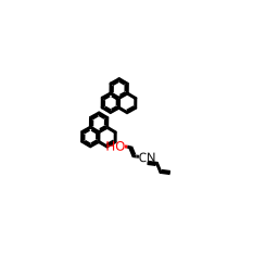 C1=Cc2cccc3cccc(c23)C1.C1=Cc2cccc3cccc(c23)C1.C=CC=C.N#CC=CO